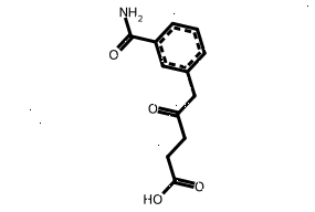 NC(=O)c1cccc(CC(=O)CCC(=O)O)c1